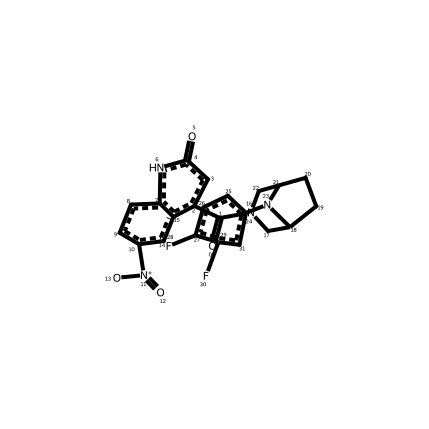 O=C(c1cc(=O)[nH]c2ccc([N+](=O)[O-])cc12)N1CC2CCC(C1)N2c1ccc(F)c(F)c1